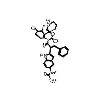 O=C(O)Nc1ccc2[nH]c(C(Cc3ccccc3)C(=O)N3C(=O)O[C@]4(CCCNC4)c4c3ccc(Cl)c4F)cc2c1